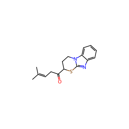 CC(C)=CCC(=O)C1CCn2c(nc3ccccc32)S1